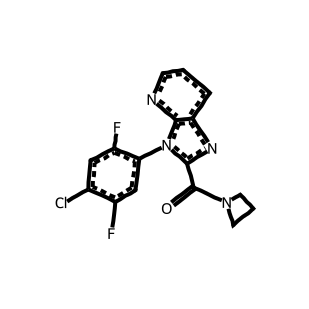 O=C(c1nc2cccnc2n1-c1cc(F)c(Cl)cc1F)N1CCC1